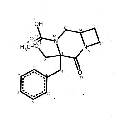 COCC1(Cc2ccccc2)C(=O)N2CCC2CN1C(=O)O